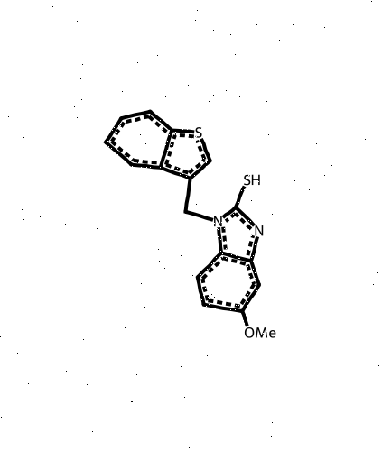 COc1ccc2c(c1)nc(S)n2Cc1csc2ccccc12